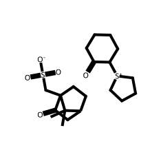 CC1(C)C2CCC1(CS(=O)(=O)[O-])C(=O)C2.O=C1CCCCC1[S+]1CCCC1